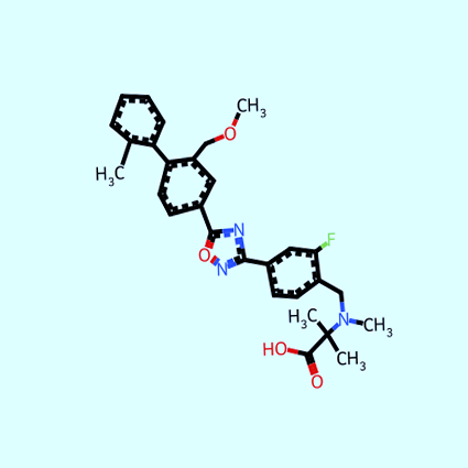 COCc1cc(-c2nc(-c3ccc(CN(C)C(C)(C)C(=O)O)c(F)c3)no2)ccc1-c1ccccc1C